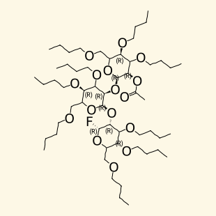 CCCCOCC1O[C@H](O[C@@H]2C(OCCCC)[C@H](OCCCC)C(COCCCC)O[C@@H]2O[C@@H]2C(OCCCC)[C@H](OCCCC)C(COCCCC)O[C@@H]2F)[C@H](OC(C)=O)C(OCCCC)[C@@H]1OCCCC